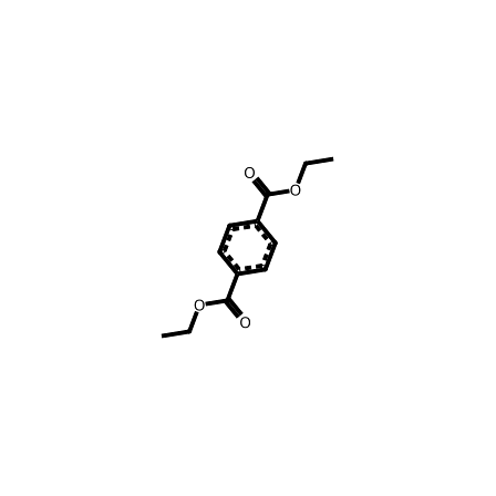 CCOC(=O)c1ccc(C(=O)OCC)cc1